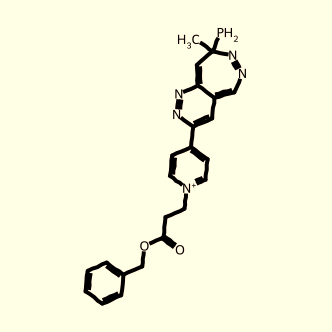 CC1(P)C=c2nnc(-c3cc[n+](CCC(=O)OCc4ccccc4)cc3)cc2=CN=N1